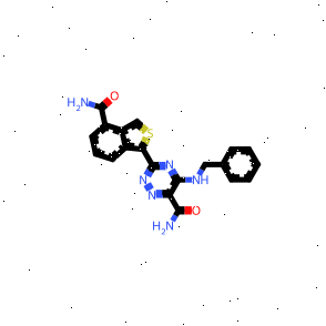 NC(=O)c1nnc(-c2scc3c(C(N)=O)cccc23)nc1NCc1ccccc1